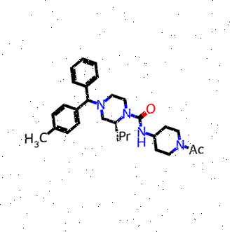 CC(=O)N1CCC(NC(=O)N2CCN(C(c3ccccc3)c3ccc(C)cc3)C[C@@H]2C(C)C)CC1